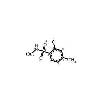 Cc1ccc(S(=O)(=O)NC(C)(C)C)c(Cl)c1